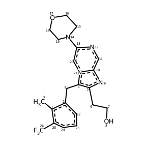 Cc1c(Cc2c(CCO)nc3cnc(N4CCOCC4)cn23)cccc1C(F)(F)F